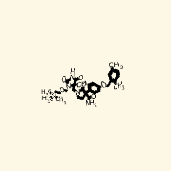 Cc1ccc(C)c(COc2ccc(C3(C(N)=O)CCN(CC4(C)C(=O)NC(=O)N4COCC[Si](C)(C)C)C3=O)cc2)c1